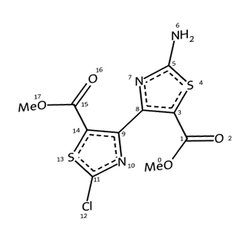 COC(=O)c1sc(N)nc1-c1nc(Cl)sc1C(=O)OC